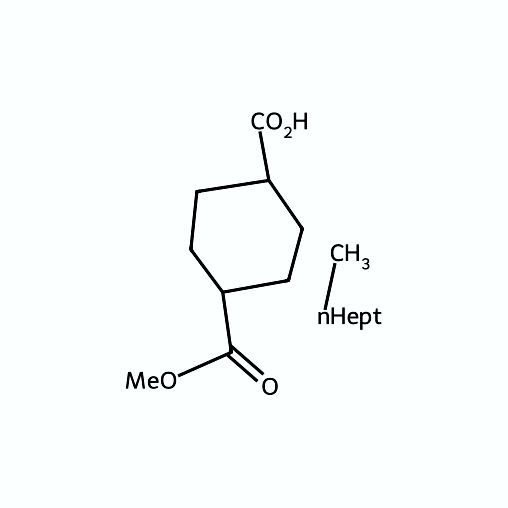 CCCCCCCC.COC(=O)C1CCC(C(=O)O)CC1